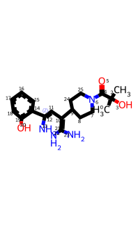 CC(C)(O)C(=O)N1CCC(C(/C=C(\N)c2ccccc2O)=C(N)N)CC1